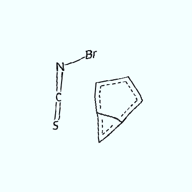 S=C=NBr.c1cc2cc-2c1